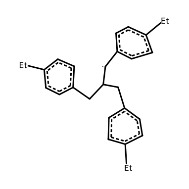 CCc1ccc([CH]C(Cc2ccc(CC)cc2)Cc2ccc(CC)cc2)cc1